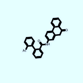 CC(=O)c1ccccc1-c1ccccc1C(=O)Nc1ccc2c(c1)CC(=O)c1ccccc1-2